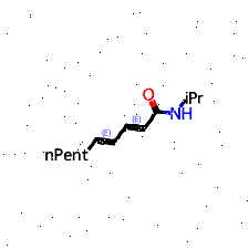 CCCCC/C=C/C=C/C(=O)NC(C)C